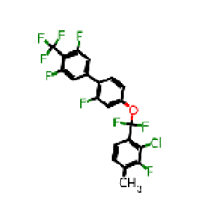 Cc1ccc(C(F)(F)Oc2ccc(-c3cc(F)c(C(F)(F)F)c(F)c3)c(F)c2)c(Cl)c1F